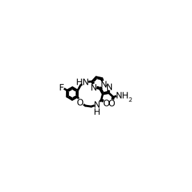 NC(=O)c1nn2ccc3nc2c1C(=O)NCCOc1ccc(F)cc1CN3